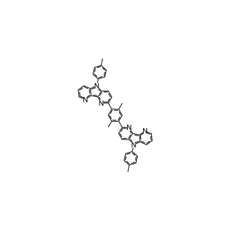 Cc1ccc(-n2c3cccnc3c3nc(-c4cc(C)c(-c5ccc6c(n5)c5ncccc5n6-c5ccc(C)cc5)cc4C)ccc32)cc1